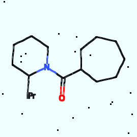 CC(C)C1CCCCN1C(=O)C1CCCCCC1